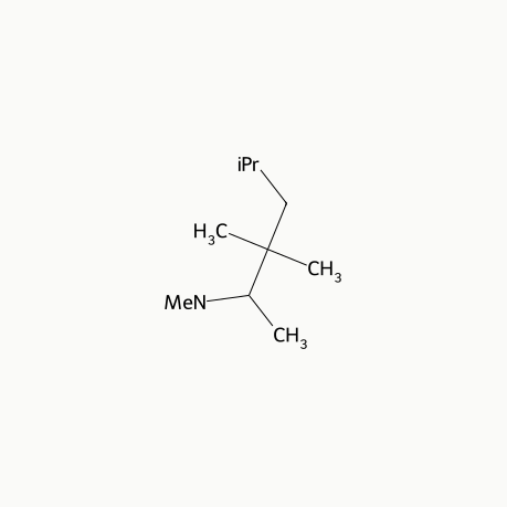 CNC(C)C(C)(C)CC(C)C